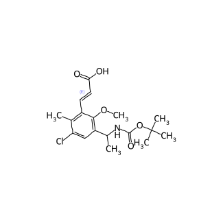 COc1c(C(C)NC(=O)OC(C)(C)C)cc(Cl)c(C)c1/C=C/C(=O)O